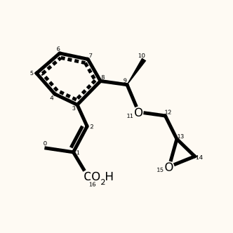 CC(=Cc1ccccc1[C@@H](C)OCC1CO1)C(=O)O